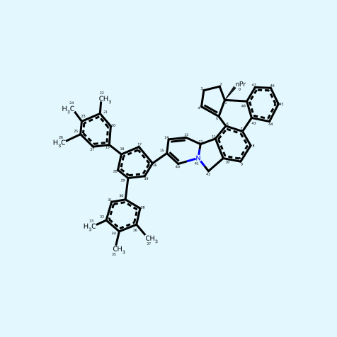 CCC[C@]12CCC=C1c1c(ccc3c1C1C=CC(c4cc(-c5cc(C)c(C)c(C)c5)cc(-c5cc(C)c(C)c(C)c5)c4)=CN1C3)-c1ccccc12